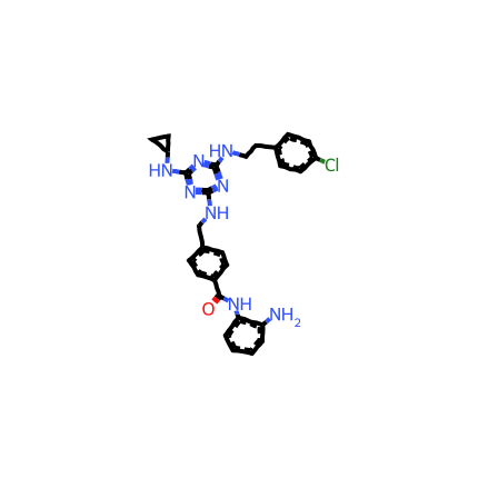 Nc1ccccc1NC(=O)c1ccc(CNc2nc(NCCc3ccc(Cl)cc3)nc(NC3CC3)n2)cc1